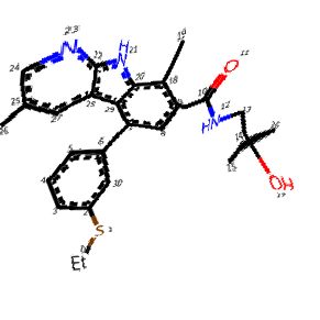 CCSc1cccc(-c2cc(C(=O)NCC(C)(C)O)c(C)c3[nH]c4ncc(C)cc4c23)c1